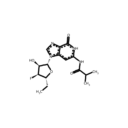 CC[C@H]1O[C@@H](n2cnc3c(=O)[nH]c(NC(=O)C(C)C)cc32)[C@H](O)[C@@H]1F